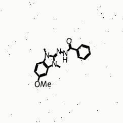 COc1ccc2c(c1)n(C)c(=NNC(=O)c1ccccc1)n2C